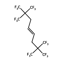 FC(F)(F)C(CC=CCC(C(F)(F)F)(C(F)(F)F)C(F)(F)F)(C(F)(F)F)C(F)(F)F